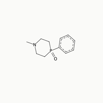 CN1CCP(=O)(c2ccccc2)CC1